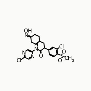 CS(=O)(=O)c1ccc(C(CC2CCC(=NO)CC2)C(=O)Nc2cnc(Cl)cn2)cc1Cl